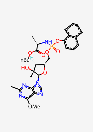 CCCCOC(=O)[C@H](C)NP(=O)(OC[C@H]1O[C@@H](n2cnc3c(OC)nc(C)nc32)[C@](C)(O)[C@@H]1F)Oc1cccc2ccccc12